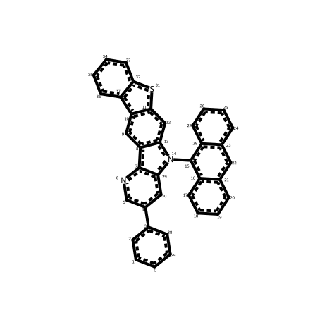 c1ccc(-c2cnc3c4cc5c(cc4n(-c4c6ccccc6cc6ccccc46)c3c2)sc2ccccc25)cc1